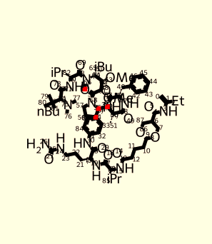 C=C(CC)NC(=O)C1COC(CCCC(=O)N[C@H](C(=O)N[C@@H](CCCNC(N)=O)C(=O)Nc2ccc(CNC(=O)[C@H](Cc3ccccc3)NC(=O)[C@H](C)[C@@H](OC)[C@@H]3CCCN3C(=O)C[C@@H](OC)[C@H]([C@@H](C)CC)N(C)C(=O)[C@@H](NC(=O)[C@@H](N(C)C)C(C)(C)CCCC)C(C)C)cc2)C(C)C)OC1